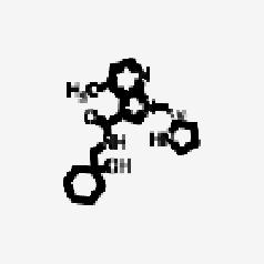 Cc1ccnc2c1c(C(=O)NCC1(O)CCCCC1)cn2C[C@@H]1CCCN1